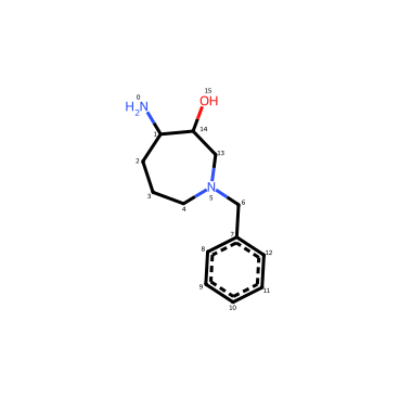 NC1CCCN(Cc2ccccc2)CC1O